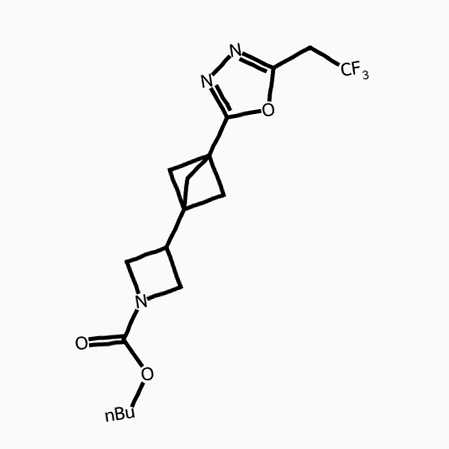 CCCCOC(=O)N1CC(C23CC(c4nnc(CC(F)(F)F)o4)(C2)C3)C1